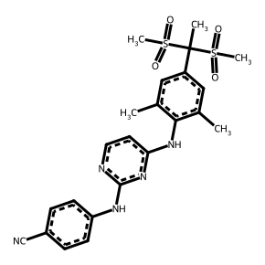 Cc1cc(C(C)(S(C)(=O)=O)S(C)(=O)=O)cc(C)c1Nc1ccnc(Nc2ccc(C#N)cc2)n1